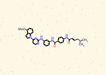 COc1cccc2c1ccn2-c1ccnc(Nc2cccc(NC(=O)c3ccc(NC(=O)C=CCN(C)C)cc3)c2)n1